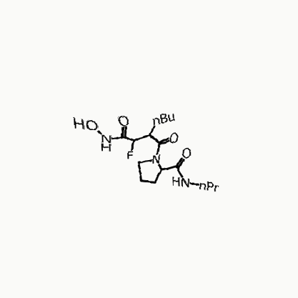 CCCCC(C(=O)N1CCCC1C(=O)NCCC)C(F)C(=O)NO